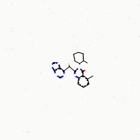 Cc1cccc2nc(C(S)c3ncnc4[nH]cnc34)n(C3CCCCC3C)c(=O)c12